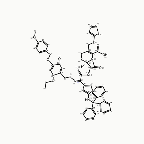 CCOn1cc(OCc2ccc(OC)cc2)c(=O)cc1CO/N=C(\C(=O)N[C@@H]1C(=O)N2C(C(=O)O)=C(CSc3cnns3)CS[C@H]12)c1csc(NC(c2ccccc2)(c2ccccc2)c2ccccc2)n1